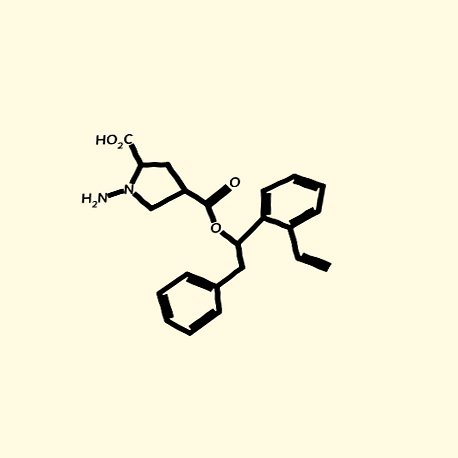 C=Cc1ccccc1C(Cc1ccccc1)OC(=O)C1CC(C(=O)O)N(N)C1